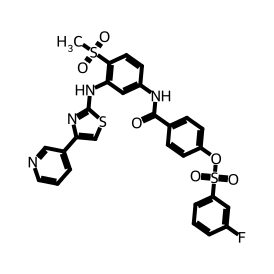 CS(=O)(=O)c1ccc(NC(=O)c2ccc(OS(=O)(=O)c3cccc(F)c3)cc2)cc1Nc1nc(-c2cccnc2)cs1